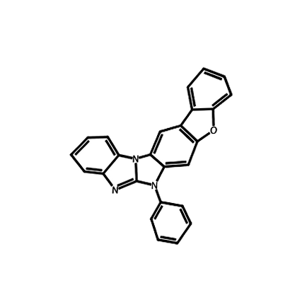 c1ccc(-n2c3cc4oc5ccccc5c4cc3n3c4ccccc4nc23)cc1